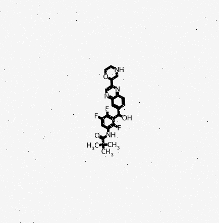 CC(C)(C)C(=O)Nc1cc(F)c(F)c(C(O)c2ccc3nc(C4CNCCO4)cnc3c2)c1F